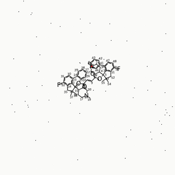 CN1CCC(C2(OC(=O)/C=C/C(=O)OC3(C4CCN(C)CC4)c4c(-c5ccccc5)ccc(F)c4CC3(C)C)c3c(-c4ccccc4)ccc(F)c3CC2(C)C)CC1